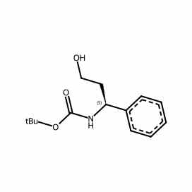 CC(C)(C)OC(=O)N[C@@H](CCO)c1ccccc1